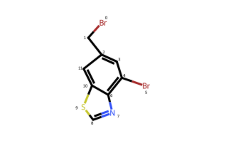 BrCc1cc(Br)c2ncsc2c1